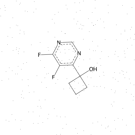 OC1(c2n[c]nc(F)c2F)CCC1